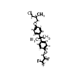 CC(CCl)COc1ccc(C(C)(C)c2ccc(OCC(F)C(F)F)cc2)cc1